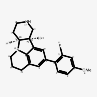 COc1ccc(-c2cc3c4c(c2)[C@@H]2CNCC[C@@H]2N4CCC3)c(F)c1